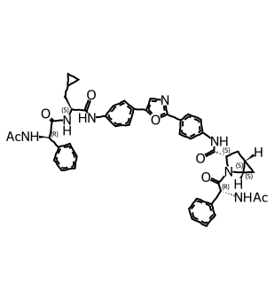 CC(=O)N[C@@H](C(=O)N[C@@H](CC1CC1)C(=O)Nc1ccc(-c2cnc(-c3ccc(NC(=O)[C@@H]4C[C@@H]5C[C@@H]5N4C(=O)[C@H](NC(C)=O)c4ccccc4)cc3)o2)cc1)c1ccccc1